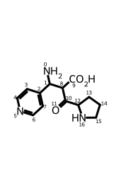 NC(c1ccncc1)C(C(=O)O)C(=O)C1CCCN1